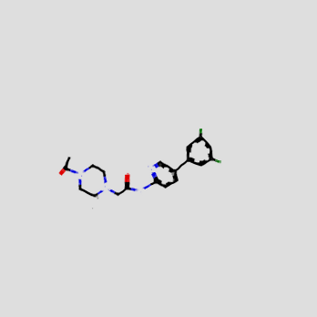 CC(=O)N1CCN(CC(=O)Nc2ccc(-c3cc(F)cc(F)c3)cn2)[C@H](C)C1